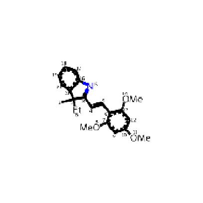 CCC1(C)C(/C=C/c2c(OC)cc(OC)cc2OC)=Nc2ccccc21